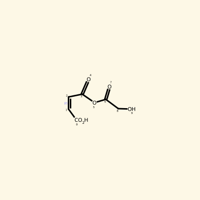 O=C(O)/C=C\C(=O)OC(=O)CO